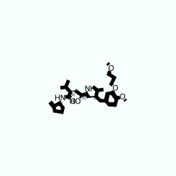 C=C1CCC[C@H]1NC(=O)[C@@H](C[C@H](O)[C@@H](N)C[C@H](Cc1ccc(OC)c(OCCCOC)c1)C(C)C)C(C)C